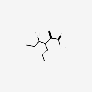 C=C(C(=O)O)C(CCC)C(O)CC